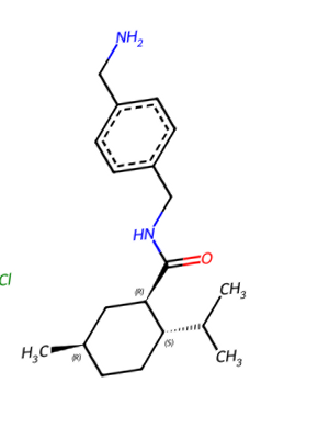 CC(C)[C@@H]1CC[C@@H](C)C[C@H]1C(=O)NCc1ccc(CN)cc1.Cl